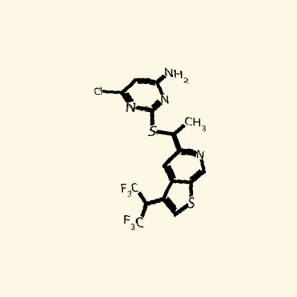 CC(Sc1nc(N)cc(Cl)n1)c1cc2c(C(C(F)(F)F)C(F)(F)F)csc2cn1